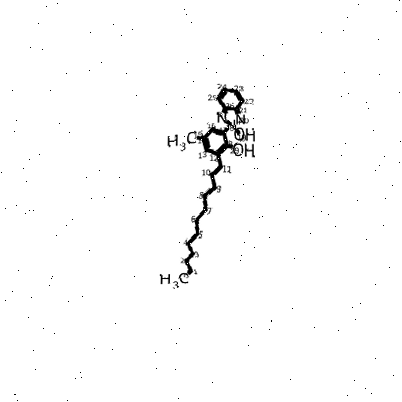 CCCCCCCCCCCCc1cc(C)cc([N+]2(O)N=c3ccccc3=N2)c1O